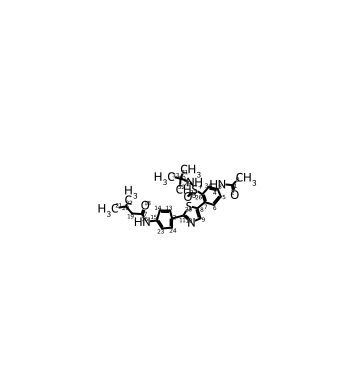 CC(=O)Nc1ccc(-c2cnc(-c3ccc(NC(=O)CC(C)C)cc3)s2)c([S+]([O-])NC(C)(C)C)c1